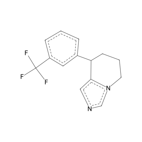 FC(F)(F)c1cccc(C2CCCn3cncc32)c1